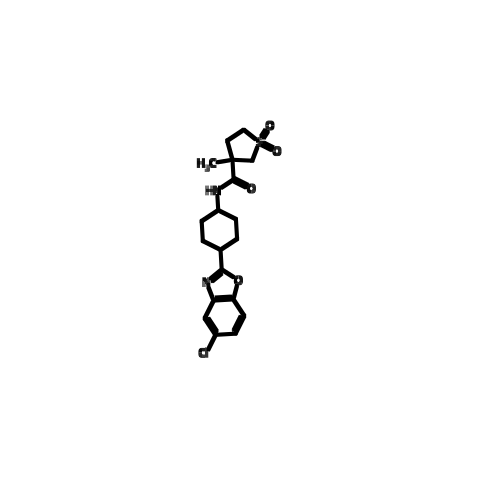 CC1(C(=O)NC2CCC(c3nc4cc(Cl)ccc4o3)CC2)CCS(=O)(=O)C1